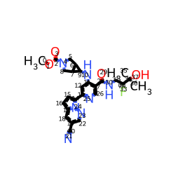 COC(=O)N1CC2C(C1)C2Nc1cc(-c2ccc3cc(C#N)cnn23)ncc1C(=O)NC[C@@H](F)C(C)(C)O